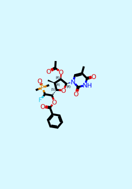 CC(=O)O[C@@H]1[C@H](C)[C@@H](C(OC(=O)c2ccccc2)C(F)P(C)(C)=O)O[C@H]1n1cc(C)c(=O)[nH]c1=O